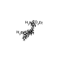 CCOC(=O)c1cnc(SCc2csc(NC(=O)Nc3ccc(C)cc3C(=O)C3CCCC3)n2)nc1N